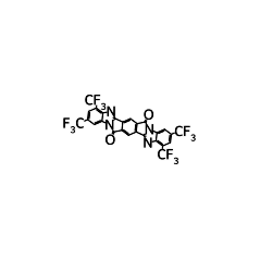 O=c1c2cc3c(cc2c2nc4c(C(F)(F)F)cc(C(F)(F)F)cc4n12)c(=O)n1c2cc(C(F)(F)F)cc(C(F)(F)F)c2nc31